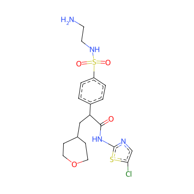 NCCNS(=O)(=O)c1ccc(C(CC2CCOCC2)C(=O)Nc2ncc(Cl)s2)cc1